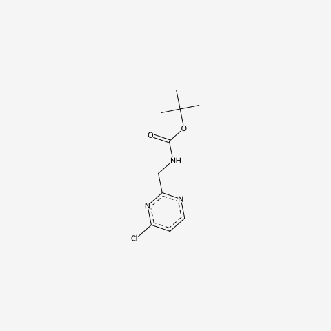 CC(C)(C)OC(=O)NCc1nccc(Cl)n1